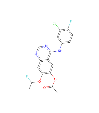 CC(=O)Oc1cc2c(Nc3ccc(F)c(Cl)c3)ncnc2cc1OC(C)F